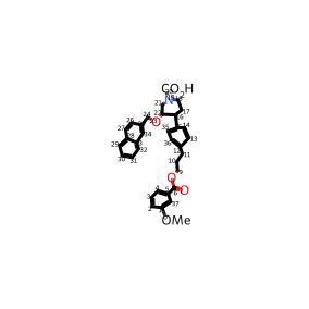 COc1cccc(C(=O)OCCCc2ccc(C3CCN(C(=O)O)CC3OCc3ccc4ccccc4c3)cc2)c1